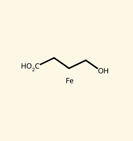 O=C(O)CCCO.[Fe]